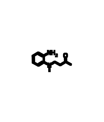 CC(=O)CCN(C)c1ccccc1N